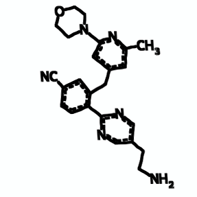 Cc1cc(Cc2cc(C#N)ccc2-c2ncc(CCN)cn2)cc(N2CCOCC2)n1